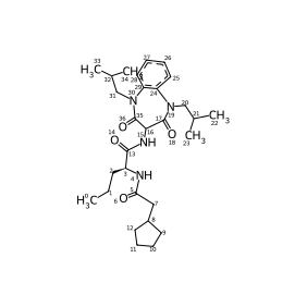 CCC[C@H](NC(=O)CC1CCCC1)C(=O)NC1C(=O)N(CC(C)C)c2ccccc2N(CC(C)C)C1=O